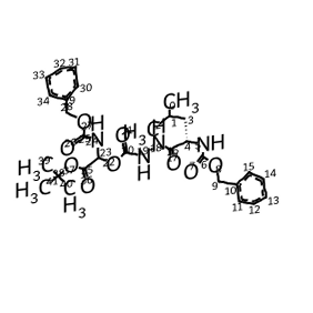 CC(C)C[C@H](NC(=O)OCc1ccccc1)C(=O)NNC(=O)OC(NC(=O)OCc1ccccc1)C(=O)OC(C)(C)C